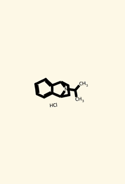 CC(C)N1C2CCC1c1ccccc12.Cl